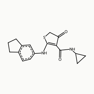 O=C1CSC(Nc2ccc3c(c2)CCC3)=C1C(=O)NC1CC1